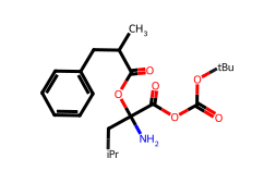 CC(C)CC(N)(OC(=O)C(C)Cc1ccccc1)C(=O)OC(=O)OC(C)(C)C